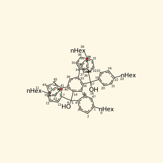 CCCCCCc1ccc(C(O)(c2ccc(CCCCCC)cc2)c2cc(C(O)(c3ccc(CCCCCC)cc3)c3ccc(CCCCCC)cc3)c(-c3cccs3)cc2-c2cccs2)cc1